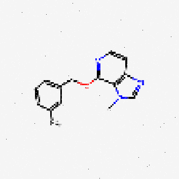 Cn1cnc2ccnc(OCc3cccc([N+](=O)[O-])c3)c21